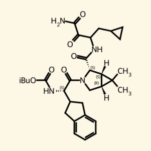 CC(C)COC(=O)N[C@H](C(=O)N1C[C@@H]2[C@H]([C@H]1C(=O)NC(CC1CC1)C(=O)C(N)=O)C2(C)C)C1Cc2ccccc2C1